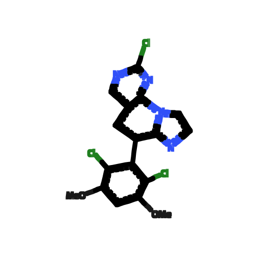 COc1cc(OC)c(Cl)c(-c2cc3cnc(Cl)nc3n3ccnc23)c1Cl